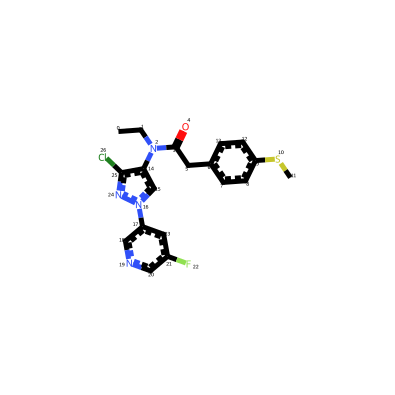 CCN(C(=O)Cc1ccc(SC)cc1)c1cn(-c2cncc(F)c2)nc1Cl